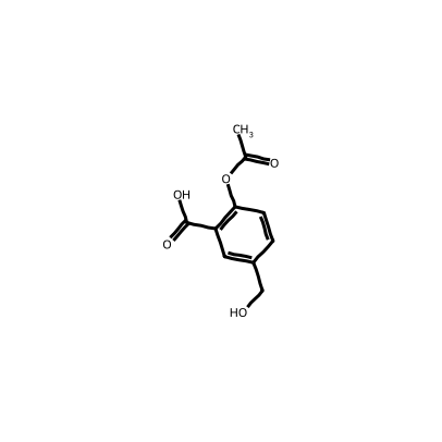 CC(=O)Oc1ccc(CO)cc1C(=O)O